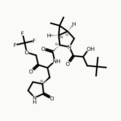 CC(C)(C)CC(O)C(=O)N1C[C@H]2[C@@H]([C@H]1C(=O)NC(C[C@@H]1CCNC1=O)C(=O)COC(F)(F)F)C2(C)C